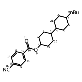 CCCCC1CCC(C2CCC(OC(=O)c3ccc(C#N)cc3)CC2)CC1